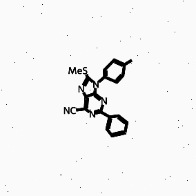 CSc1nc2c(C#N)nc(-c3ccccc3)nc2n1-c1ccc(C)cc1